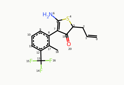 C=CCC1SC(N)=C(c2cccc(C(F)(F)F)c2C)C1=O